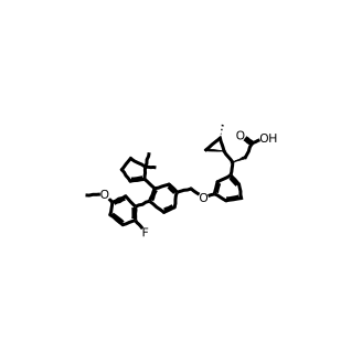 COc1ccc(F)c(-c2ccc(COc3cccc([C@H](CC(=O)O)[C@H]4C[C@@H]4C)c3)cc2C2=CCCC2(C)C)c1